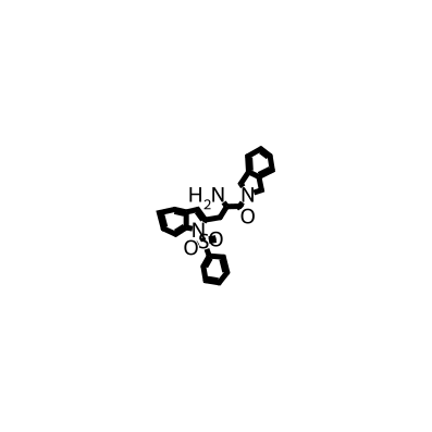 NC(Cc1cc2ccccc2n1S(=O)(=O)c1ccccc1)C(=O)N1Cc2ccccc2C1